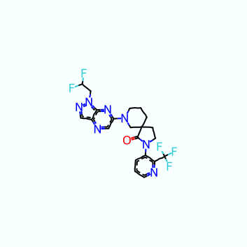 O=C1N(c2cccnc2C(F)(F)F)CCC12CCCN(c1cnc3cnn(CC(F)F)c3n1)C2